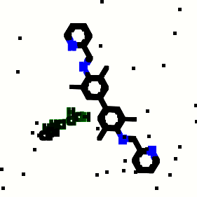 Cc1cc(-c2cc(C)c(N=Cc3ccccn3)c(C)c2)cc(C)c1N=Cc1ccccn1.Cl.Cl.Cl.Cl.[Cu].[Cu]